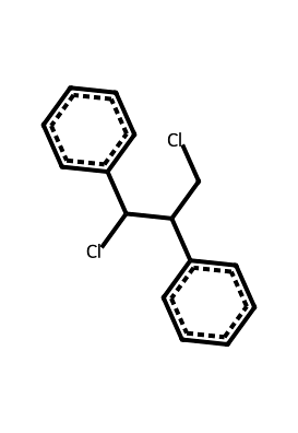 ClCC(c1ccccc1)C(Cl)c1ccccc1